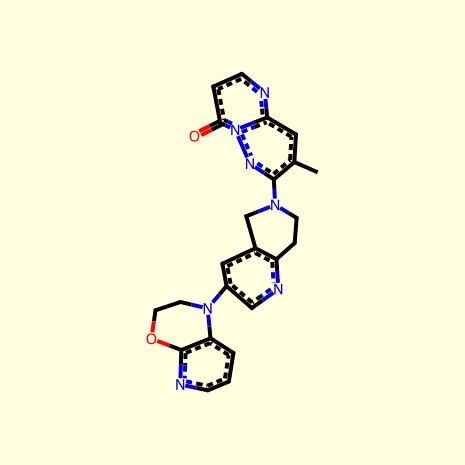 Cc1cc2nccc(=O)n2nc1N1CCc2ncc(N3CCOc4ncccc43)cc2C1